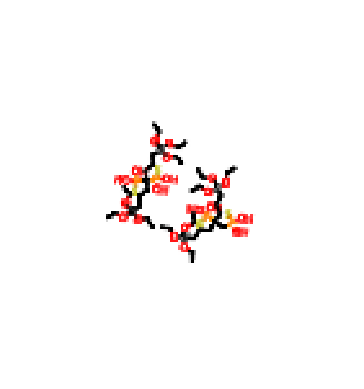 CCO[Si](CCCC(CCC[Si](OCC)(OCC)OCC)(CP(O)(O)=S)P(O)(O)=S)(OCC)OCC.CCO[Si](CCCC(CCC[Si](OCC)(OCC)OCC)(P(O)(O)=S)P(O)(O)=S)(OCC)OCC